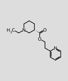 CCN1CCC[C@H](C(=O)OCCc2ccccn2)C1